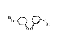 CCOC1=CC(=O)C(C2CCC(OCC)=CC2=O)CC1